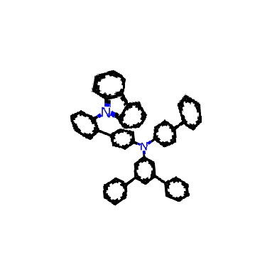 c1ccc(-c2ccc(N(c3ccc(-c4ccccc4-n4c5ccccc5c5ccccc54)cc3)c3cc(-c4ccccc4)cc(-c4ccccc4)c3)cc2)cc1